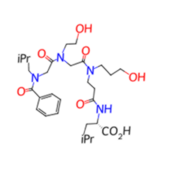 CC(C)C[C@H](NC(=O)CCN(CCCO)C(=O)CN(CCO)C(=O)CN(CC(C)C)C(=O)c1ccccc1)C(=O)O